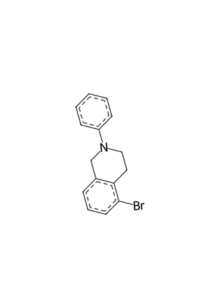 Brc1cccc2c1CCN(c1ccccc1)C2